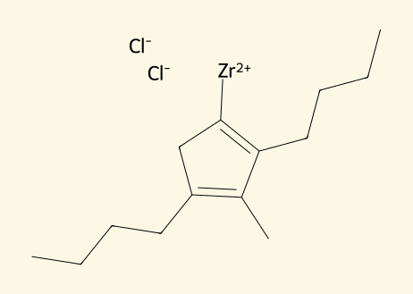 CCCCC1=C(C)C(CCCC)=[C]([Zr+2])C1.[Cl-].[Cl-]